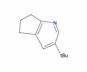 CC(C)(C)c1cnc2c(c1)CCC2